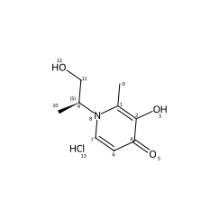 Cc1c(O)c(=O)ccn1[C@@H](C)CO.Cl